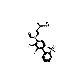 CNC(C)CCN(C=O)c1ccc(-c2ccccc2P(C)(C)=O)c(F)c1F